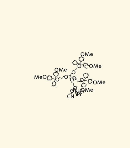 COc1ccc(C(OCCCOCC(COCCCOP(OCCC#N)N(C(C)C)C(C)C)(COCCCOC(c2ccccc2)(c2ccc(OC)cc2)c2ccc(OC)cc2)COCCCOC(c2ccccc2)(c2ccc(OC)cc2)c2ccc(OC)cc2)(c2ccccc2)c2ccc(OC)cc2)cc1